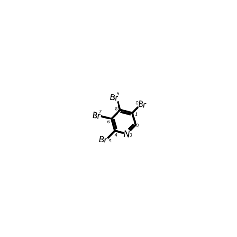 Brc1cnc(Br)c(Br)c1Br